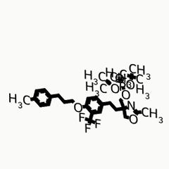 CC1=NC(CCc2ccc(OCCCc3ccc(C)cc3)c(C(F)(F)F)c2)(COP(=O)(OC(C)(C)C)OC(C)(C)C)CO1